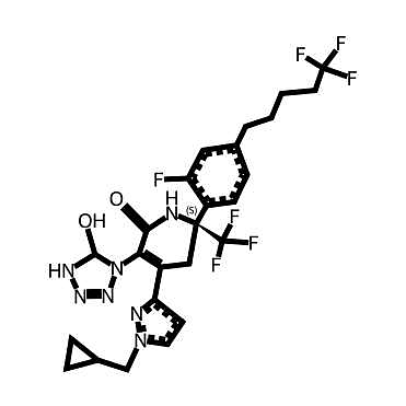 O=C1N[C@@](c2ccc(CCCCC(F)(F)F)cc2F)(C(F)(F)F)CC(c2ccn(CC3CC3)n2)=C1N1N=NNC1O